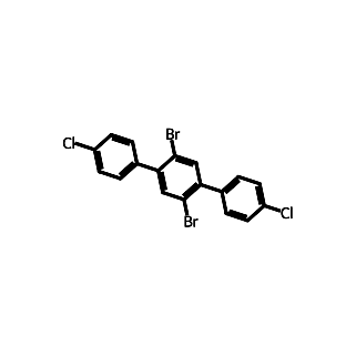 Clc1ccc(-c2cc(Br)c(-c3ccc(Cl)cc3)cc2Br)cc1